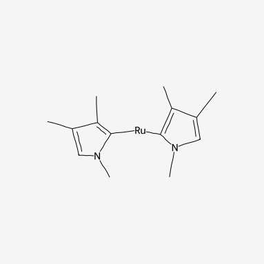 Cc1cn(C)[c]([Ru][c]2c(C)c(C)cn2C)c1C